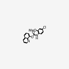 COc1cc(Cl)ccc1NC(=O)Oc1cccc2cccnc12